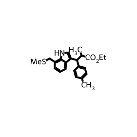 CCOC(=O)C(C)C(c1ccc(C)cc1)c1c[nH]c2c(CSC)cccc12